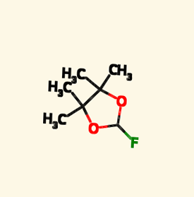 CC1(C)OC(F)OC1(C)C